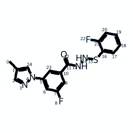 Cc1cnn(-c2cc(F)cc(C(=O)NNSc3ccccc3F)c2)c1